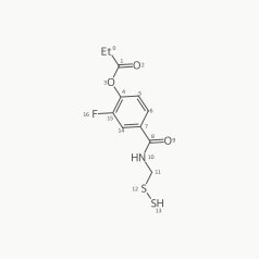 CCC(=O)Oc1ccc(C(=O)NCSS)cc1F